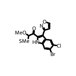 COC(SC)C(=O)c1[nH]c2cc(Br)c(Cl)cc2c1-c1ccon1